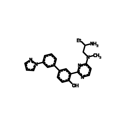 CCC(N)CN(C)c1ccnc(-c2cc(-c3cccc(-n4cccn4)c3)ccc2O)n1